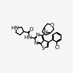 O=C(Nc1nc(N2C3CCC2COC3)c2c(-c3ccccc3Cl)csc2n1)C1CCNC1